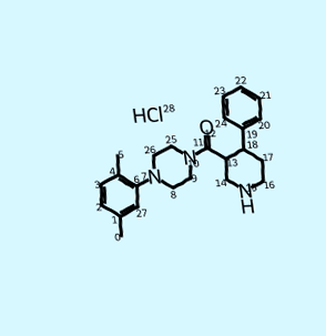 Cc1ccc(C)c(N2CCN(C(=O)C3CNCCC3c3ccccc3)CC2)c1.Cl